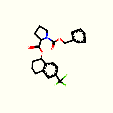 O=C(O[C@H]1CCCc2cc(C(F)(F)F)ccc21)C1CCCN1C(=O)OCc1ccccc1